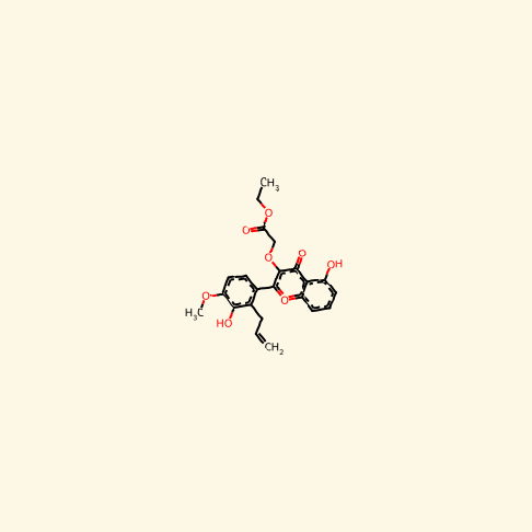 C=CCc1c(-c2oc3cccc(O)c3c(=O)c2OCC(=O)OCC)ccc(OC)c1O